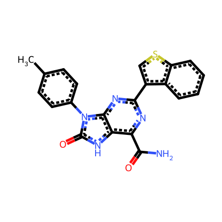 Cc1ccc(-n2c(=O)[nH]c3c(C(N)=O)nc(-c4csc5ccccc45)nc32)cc1